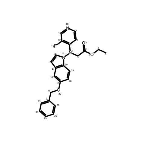 CCOC(=O)CN(c1ccncc1F)n1ccc2cc(OCc3ccccc3)ccc21